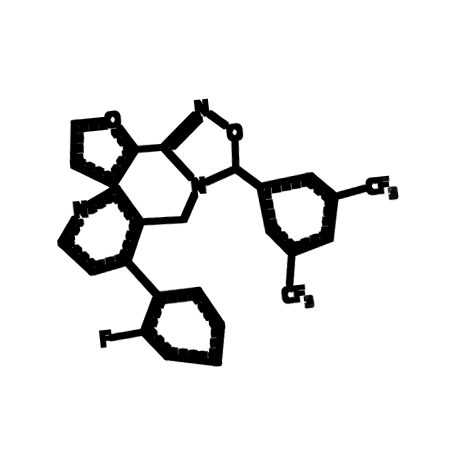 Fc1ccccc1-c1ccncc1CN1C(c2ccco2)=NOC1c1cc(C(F)(F)F)cc(C(F)(F)F)c1